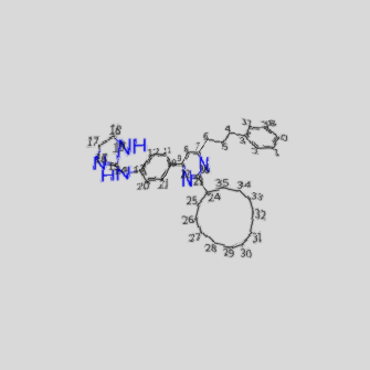 c1ccc(CCCc2cc(-c3ccc(NC4=NCCN4)cc3)nc(C3CCCCCCCCCCC3)n2)cc1